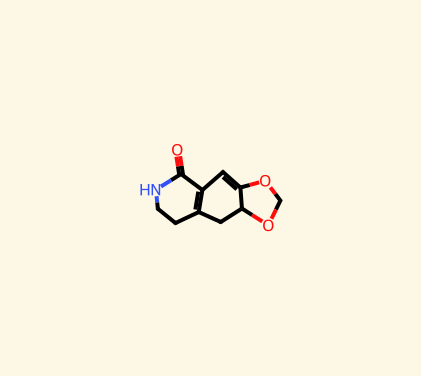 O=C1NCCC2=C1C=C1OCOC1C2